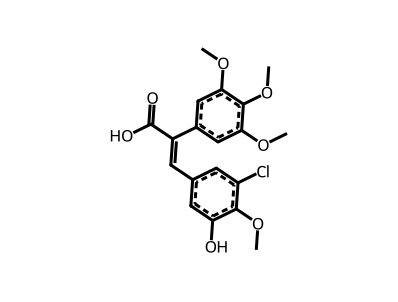 COc1cc(/C(=C\c2cc(O)c(OC)c(Cl)c2)C(=O)O)cc(OC)c1OC